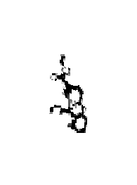 CCOC(=O)c1ccc2nc3c(c(=O)n2c1)CCCC3